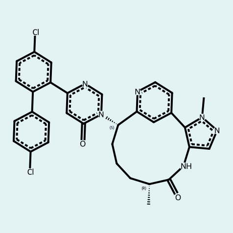 C[C@@H]1CCC[C@H](n2cnc(-c3cc(Cl)ccc3-c3ccc(Cl)cc3)cc2=O)c2cc(ccn2)-c2c(cnn2C)NC1=O